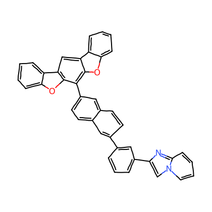 c1cc(-c2ccc3cc(-c4c5oc6ccccc6c5cc5c4oc4ccccc45)ccc3c2)cc(-c2cn3ccccc3n2)c1